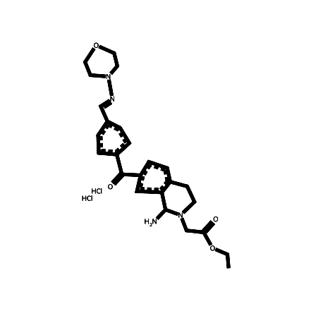 CCOC(=O)CN1CCc2ccc(C(=O)c3ccc(C=NN4CCOCC4)cc3)cc2C1N.Cl.Cl